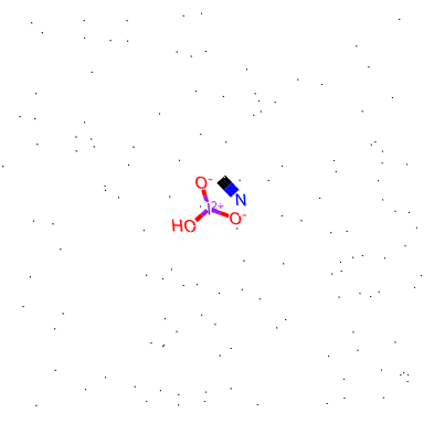 C#N.[O-][I+2]([O-])O